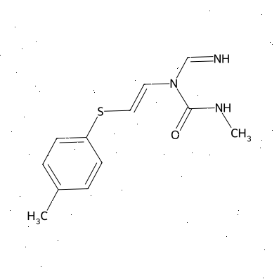 CNC(=O)N(C=N)/C=C/Sc1ccc(C)cc1